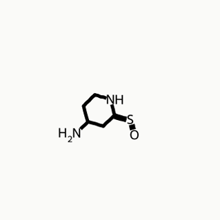 NC1CCNC(=S=O)C1